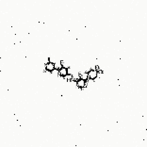 Cc1cc(-c2ncc(CNc3ncnc(N4CCS(=O)(=O)CC4)c3F)cc2F)ccn1